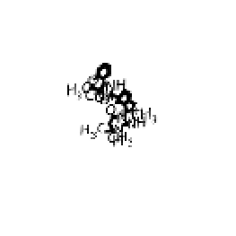 CC[C@]1(C)CC(=O)N([C@H]2c3cc(C(=O)N[C@@H]4c5ccccc5OC(C)(C)[C@H]4O)ccc3C[C@@H]2C)C(=N)N1